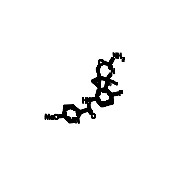 COc1ccc(C(=O)Nc2ccc(F)c([C@@]3(C)N=C(N)OCC34CC4)c2)nc1